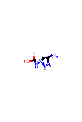 Nc1cn(NC(=O)O)nn1